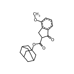 COc1cccc2c1CC(C(=O)OC13CC4CC(CC(C4)C1)C3)C2=O